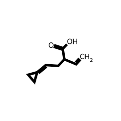 C=CC(CC=C1CC1)C(=O)O